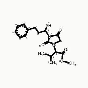 COC(=O)C(C(C)C)N1CC(=O)N(C(S)CCc2ccccc2)C1=O